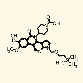 COc1cc2c(=O)n(C3CCN(C(=O)O)CC3)c3c(cnc4c3ccn4COCC[Si](C)(C)C)c2cc1OC